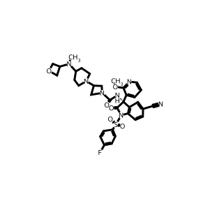 COc1ncccc1[C@]1(NC(=O)N2CC(N3CCC(N(C)C4COC4)CC3)C2)C(=O)N(S(=O)(=O)c2ccc(F)cc2)c2ccc(C#N)cc21